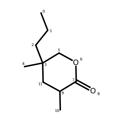 CCCC1(C)COC(=O)C(C)C1